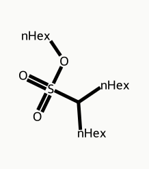 CCCCCCOS(=O)(=O)C(CCCCCC)CCCCCC